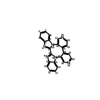 c1ccc2c(c1)nc1c3nc4ccccc4n3c3cnccc3c3ccncc3n21